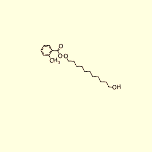 Cc1ccccc1C(=O)OOCCCCCCCCCCCO